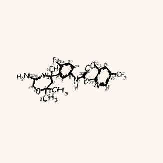 CC1(C)C[C@@](C)(c2cc(NC(=O)Oc3ncc(C(F)(F)F)cc3Cl)ccc2F)N=C(N)CO1